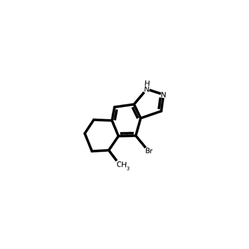 CC1CCCc2cc3[nH]ncc3c(Br)c21